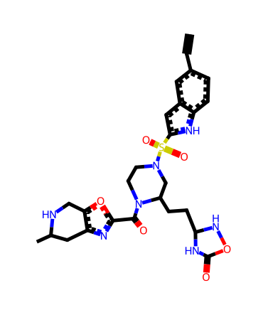 C#Cc1ccc2[nH]c(S(=O)(=O)N3CCN(C(=O)c4nc5c(o4)CNC(C)C5)C(CCC4NOC(=O)N4)C3)cc2c1